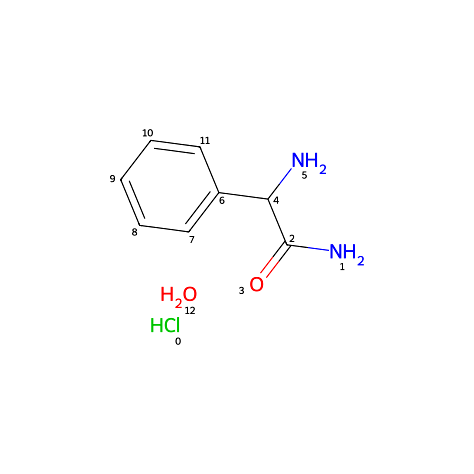 Cl.NC(=O)C(N)c1ccccc1.O